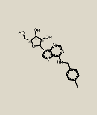 OC[C@H]1OC(n2cnc3c(NCc4ccc(I)cc4)ncnc32)[C@H](O)[C@@H]1O